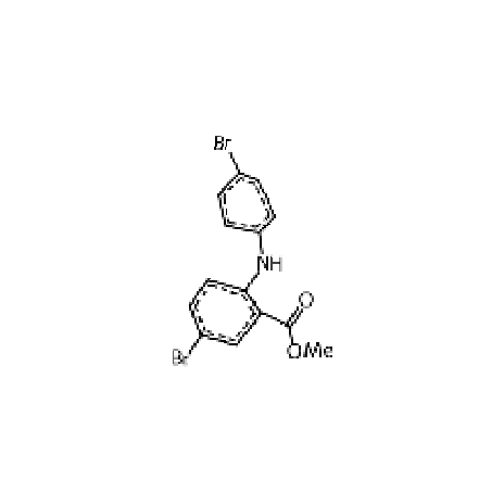 COC(=O)c1cc(Br)ccc1Nc1ccc(Br)cc1